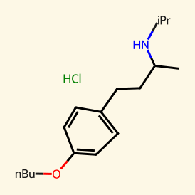 CCCCOc1ccc(CCC(C)NC(C)C)cc1.Cl